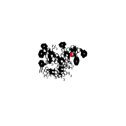 CC(=N)O[C@H]1OC(C)[C@H](OC(C)=O)C(O[C@@H]2OC(C)[C@H](C)[C@@H]3OC(C)(C)OC23)[C@H]1O[C@@H]1OC(C)[C@H](O[C@@H]2OC[C@@H](C)C(O[C@@H]3OC[C@]4(COCc5ccccc5)O[C@@H](c5ccccc5)OC34)[C@H]2OCc2ccccc2)C(O[C@@H]2OC(COCc3ccccc3)[C@@H](OCc3ccccc3)C(OCc3ccccc3)[C@H]2C)[C@@H]1C